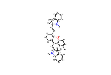 Cc1ccc(OC2=C(/C=C/C3=[N+](C)c4ccccc4C3(C)C)CCC/C2=C\C=C2\N(C)c3ccccc3C2(C)C)cc1